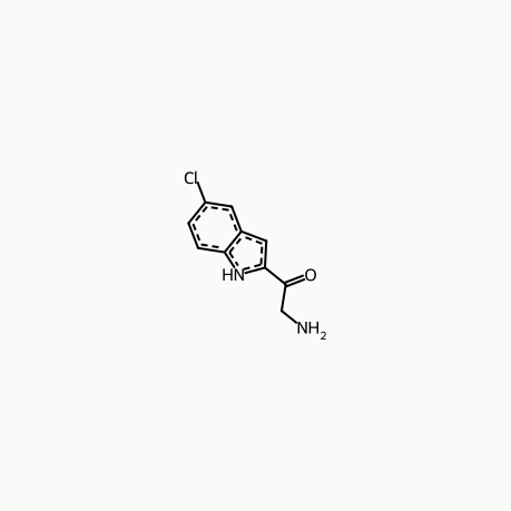 NCC(=O)c1cc2cc(Cl)ccc2[nH]1